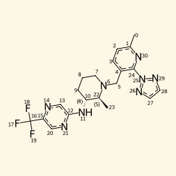 Cc1ccc(CN2CCC[C@@H](Nc3cnc(C(F)(F)F)cn3)[C@@H]2C)c(-n2nccn2)n1